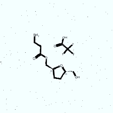 NCCC(=O)OC[C@@H]1CC[C@@H](CO)O1.O=C(O)C(F)(F)F